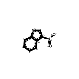 O=[N+]([O-])c1csc2cc[c]cc12